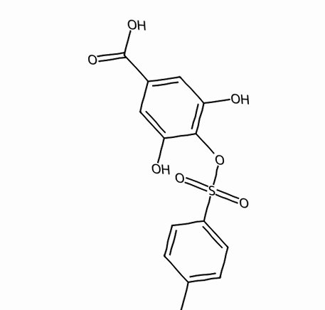 Cc1ccc(S(=O)(=O)Oc2c(O)cc(C(=O)O)cc2O)cc1